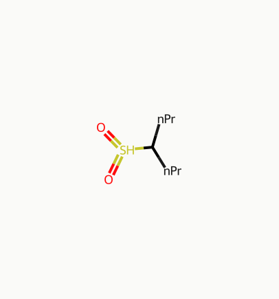 CCCC(CCC)[SH](=O)=O